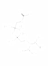 CCC(=O)SCC(C)(C)OC(C)(C)CSP(N(C(C)C)C(C)C)N(C(C)C)C(C)C